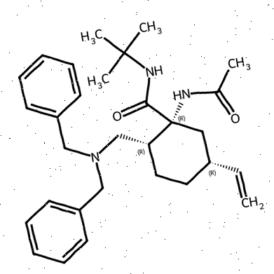 C=C[C@@H]1CC[C@H](CN(Cc2ccccc2)Cc2ccccc2)[C@@](NC(C)=O)(C(=O)NC(C)(C)C)C1